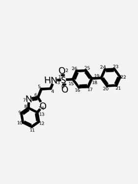 O=S(=O)(NCCc1nc2ccccc2o1)c1ccc(-c2ccccc2)cc1